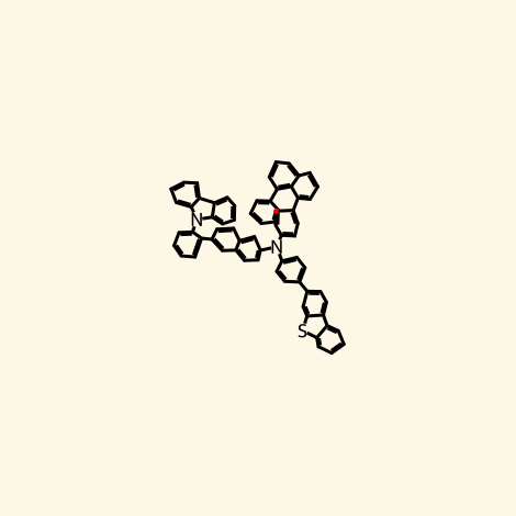 c1ccc(-c2cccc3cccc(-c4ccc(N(c5ccc(-c6ccc7c(c6)sc6ccccc67)cc5)c5ccc6cc(-c7ccccc7-n7c8ccccc8c8ccccc87)ccc6c5)cc4)c23)cc1